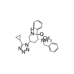 CO[C@]1(c2ccccc2)NCC(n2nnnc2C2CC2)C[C@H]1NCc1ccccc1